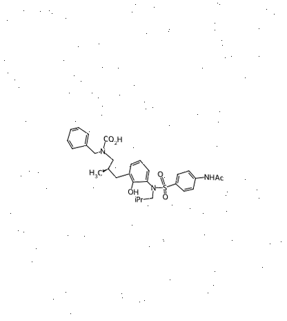 CC(=O)Nc1ccc(S(=O)(=O)N(CC(C)C)c2cccc(C[C@@H](C)CN(Cc3ccccc3)C(=O)O)c2O)cc1